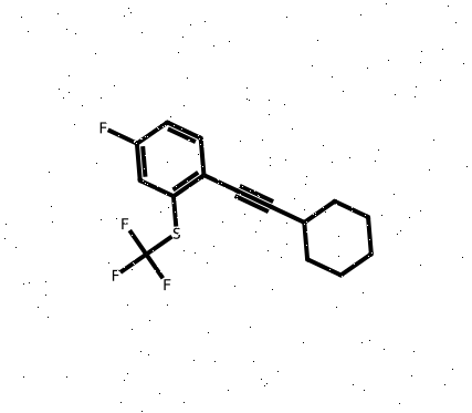 Fc1ccc(C#CC2CCCCC2)c(SC(F)(F)F)c1